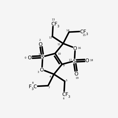 O=S1(=O)OC(CC(F)(F)F)(CC(F)(F)F)C2=C1C(CC(F)(F)F)(CC(F)(F)F)OS2(=O)=O